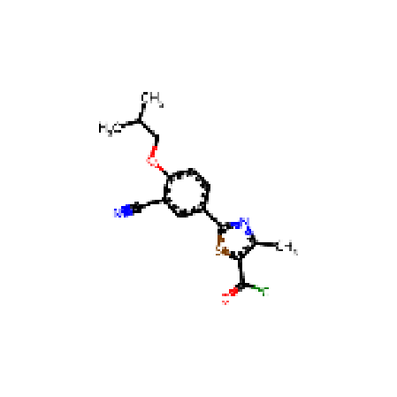 Cc1nc(-c2ccc(OCC(C)C)c(C#N)c2)sc1C(=O)Cl